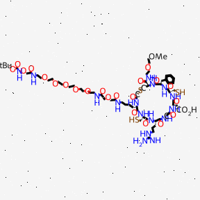 COCCOCCNC(=O)[C@@H]1CSCC(=O)N[C@@H](CCCCNC(=O)COCC(=O)NCCOCCOCCOCCOCCOCCNC(=O)CONC(=O)OC(C)(C)C)C(=O)N[C@@H](CS)C(=O)N[C@@H](CCCNC(=N)N)C(=O)NCC(=O)N[C@@H](CC(=O)O)C(=O)N[C@@H](CS)C(=O)N[C@@H](Cc2ccccc2)C(=O)N1